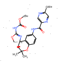 COc1cnc(C(=O)Nc2ccc3c(c2)[C@@]2(COC(NC(=O)OC(C)(C)C)=N2)C2(COC2)C(C)(C)O3)cn1